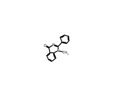 Cn1c(-c2ccccc2)nc(=O)c2ccccc21